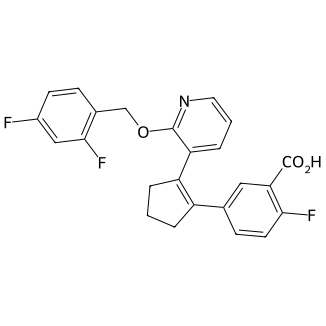 O=C(O)c1cc(C2=C(c3cccnc3OCc3ccc(F)cc3F)CCC2)ccc1F